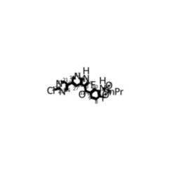 CCCS(=O)(=O)Nc1c(F)ccc(C(=O)c2c[nH]c3ncc(-c4cnc(Cl)nc4)cc23)c1F